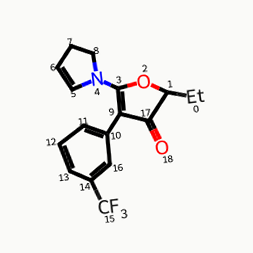 CCC1OC(N2C=CCC2)=C(c2cccc(C(F)(F)F)c2)C1=O